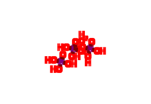 O.O=P(O)(O)O.O=P(O)(O)O.O=P(O)(O)O